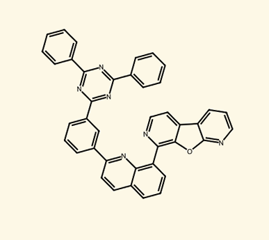 c1ccc(-c2nc(-c3ccccc3)nc(-c3cccc(-c4ccc5cccc(-c6nccc7c6oc6ncccc67)c5n4)c3)n2)cc1